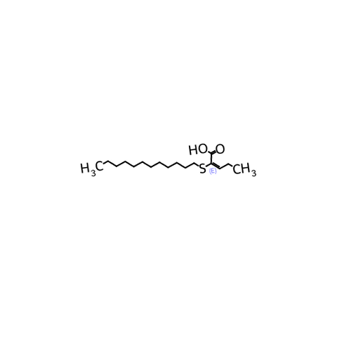 CC/C=C(/SCCCCCCCCCCCC)C(=O)O